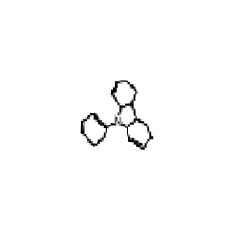 C1=CC2C(CC1)C1CCC=CC1N2C1=CCCCC1